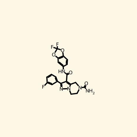 NC(=O)N1CCn2nc(-c3cccc(F)c3)c(C(=O)Nc3ccc4c(c3)OC(F)(F)O4)c2C1